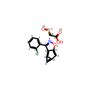 Fc1ccccc1-c1noc2cc3cc-3c12.O=S=CC(=O)O